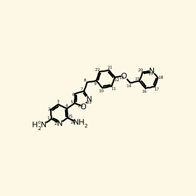 Nc1ccc(-c2cc(Cc3ccc(OCc4cccnc4)cc3)no2)c(N)n1